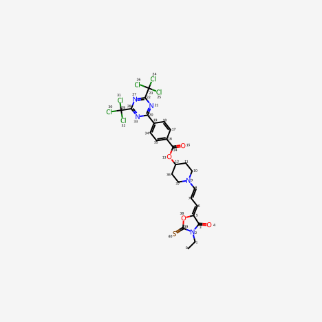 CCN1C(=O)C(=CC=CN2CCC(OC(=O)c3ccc(-c4nc(C(Cl)(Cl)Cl)nc(C(Cl)(Cl)Cl)n4)cc3)CC2)OC1=S